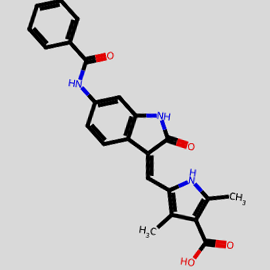 Cc1[nH]c(/C=C2\C(=O)Nc3cc(NC(=O)c4ccccc4)ccc32)c(C)c1C(=O)O